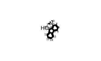 CN(C)c1cccc2c1C(O)c1ccccc1-2